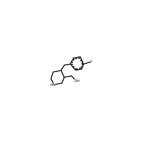 OCC1CNCCC1Cc1ccc(F)cc1